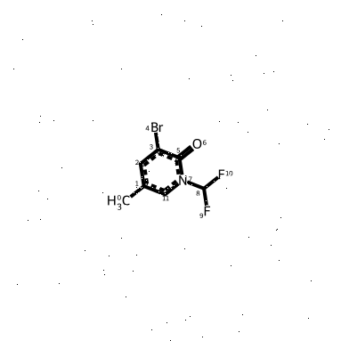 Cc1cc(Br)c(=O)n(C(F)F)c1